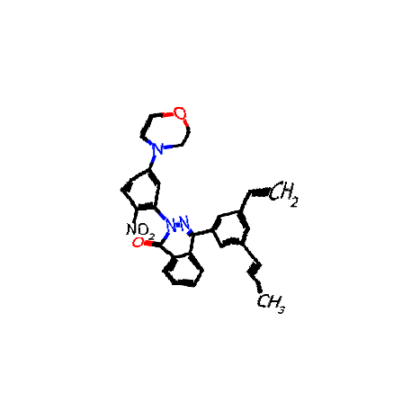 C=Cc1cc(C=CC)cc(-c2nn(-c3cc(N4CCOCC4)ccc3[N+](=O)[O-])c(=O)c3ccccc23)c1